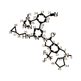 CN(Cc1cc2c(c(C(F)(F)F)c1)CN(c1cc(-c3cc(C#N)ccc3-c3nncn3C)cc(NCCC3CC3)n1)C2=O)C1CCCC1